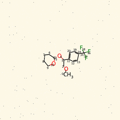 COCC(O[C@H]1CCCCO1)c1ccc(C(F)(F)F)cc1